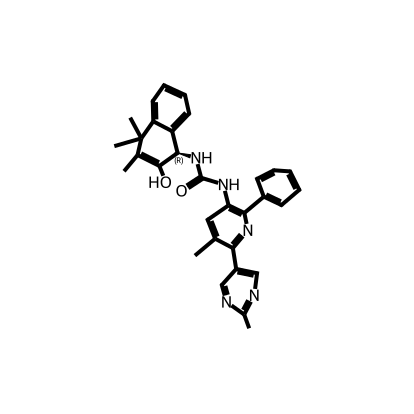 CC1=C(O)[C@H](NC(=O)Nc2cc(C)c(-c3cnc(C)nc3)nc2-c2ccccc2)c2ccccc2C1(C)C